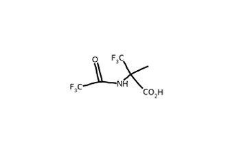 CC(NC(=O)C(F)(F)F)(C(=O)O)C(F)(F)F